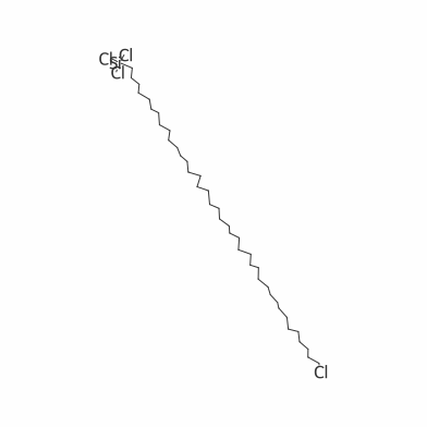 ClCCCCCCCCCCCCCCCCCCCCCCCCCCCCCCCCCCCCCCC[Si](Cl)(Cl)Cl